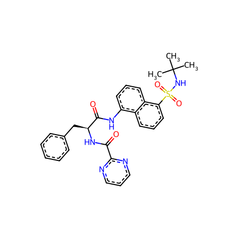 CC(C)(C)NS(=O)(=O)c1cccc2c(NC(=O)[C@H](Cc3ccccc3)NC(=O)c3ncccn3)cccc12